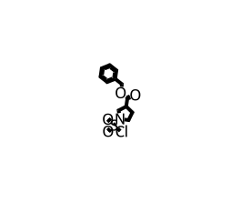 O=C(OCc1ccccc1)C1CCN(S(=O)(=O)Cl)C1